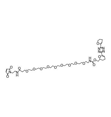 O=C(CCOCCOCCOCCOCCOCCOCCOCCOCCOCCNC(=O)OCC1CCC=C(c2nnc(C3=CCCCO3)nn2)O1)NCCN1C(=O)C=CC1=O